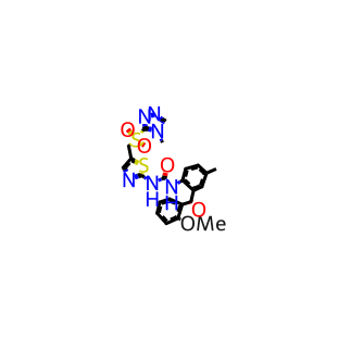 COc1ccccc1C(=O)c1cc(C)ccc1NC(=O)Nc1ncc(CS(=O)(=O)c2nncn2C)s1